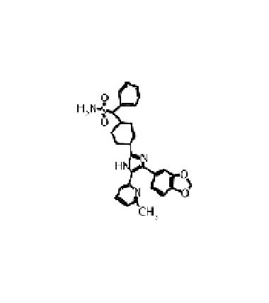 Cc1cccc(-c2[nH]c(C3CCC(C(c4ccccc4)S(N)(=O)=O)CC3)nc2-c2ccc3c(c2)OCO3)n1